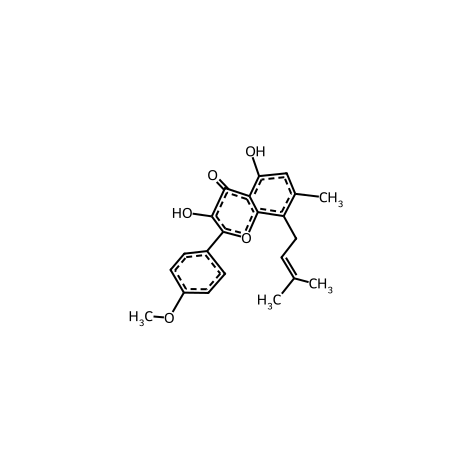 COc1ccc(-c2oc3c(CC=C(C)C)c(C)cc(O)c3c(=O)c2O)cc1